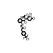 C=C(C)N(C(=O)c1c(N)cccc1N=NC(=O)Cc1ccc(C(F)(F)CC)cc1)C1CCC(=O)NC1=O